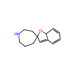 C1=CC2=CC3(CCCNCC3)OC2C=C1